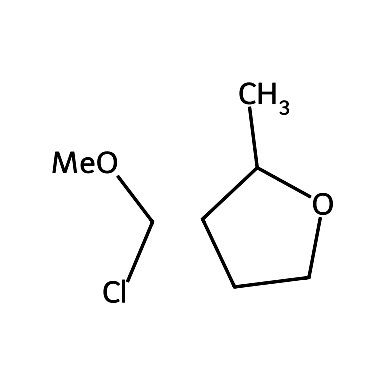 CC1CCCO1.COCCl